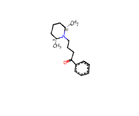 C[C@@H]1CCC[C@H](C)N1CCCC(=O)c1ccccc1